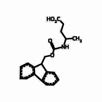 CC(CCC(=O)O)NC(=O)OCC1c2ccccc2-c2ccccc21